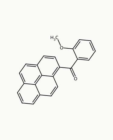 COc1ccccc1C(=O)c1ccc2ccc3cccc4ccc1c2c34